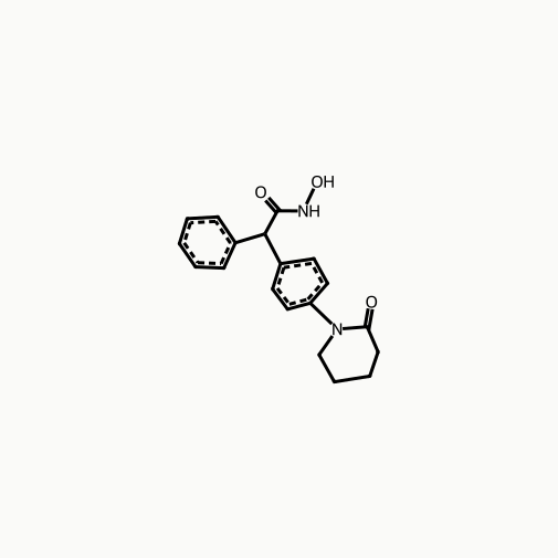 O=C(NO)C(c1ccccc1)c1ccc(N2CCCCC2=O)cc1